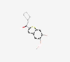 COc1cc2cc(C(=O)C3CCC3)sc2cc1Br